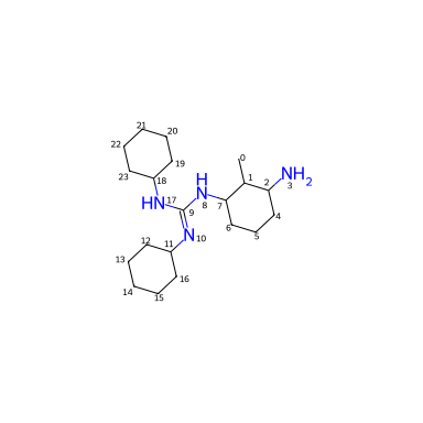 CC1C(N)CCCC1NC(=NC1CCCCC1)NC1CCCCC1